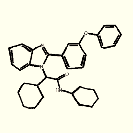 O=C(NC1CCCCC1)C(C1CCCCC1)n1c(-c2cccc(Oc3ccccc3)c2)nc2ccccc21